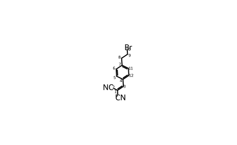 N#CC(C#N)=Cc1ccc(CCBr)cc1